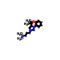 CN(C)CCCN1CC2N(C1)c1ccccc1OC2(C)C